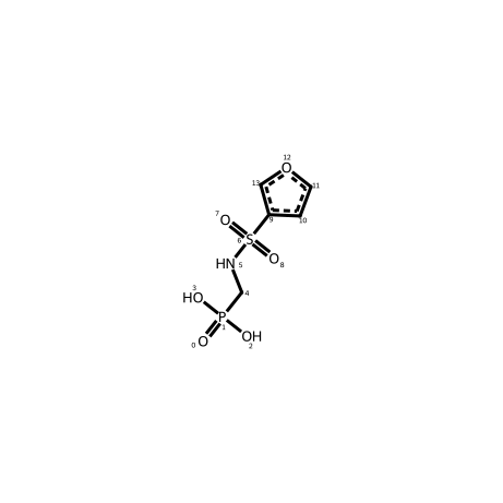 O=P(O)(O)CNS(=O)(=O)c1ccoc1